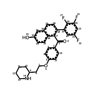 O=C(c1ccc(OCCC2CCCCN2)cc1)c1c(-c2cc(F)cc(F)c2F)ccc2cc(O)ccc12